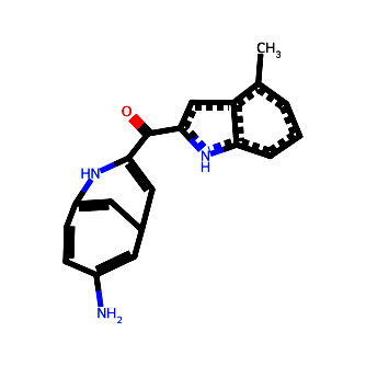 Cc1cccc2[nH]c(C(=O)C3=CC4C=C(N)C=CC(=C4)N3)cc12